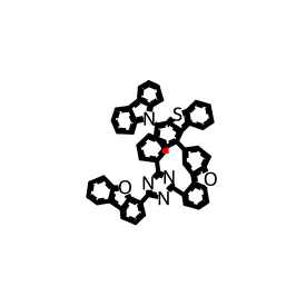 c1ccc(-c2nc(-c3cccc4c3oc3ccccc34)nc(-c3cccc4oc5ccc(-c6ccc(-n7c8ccccc8c8ccccc87)c7sc8ccccc8c67)cc5c34)n2)cc1